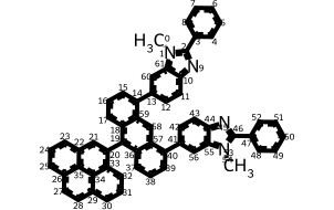 Cn1c(-c2ccccc2)nc2ccc(-c3cccc4c(-c5cc6cccc7ccc8cccc5c8c76)c5cccc(-c6ccc7nc(-c8ccccc8)n(C)c7c6)c5cc34)cc21